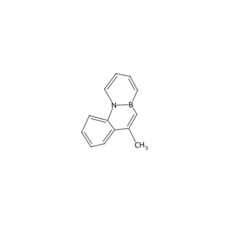 CC1=CB2C=CC=CN2c2ccccc21